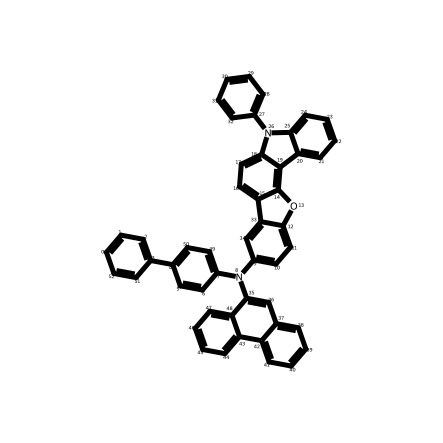 c1ccc(-c2ccc(N(c3ccc4oc5c(ccc6c5c5ccccc5n6-c5ccccc5)c4c3)c3cc4ccccc4c4ccccc34)cc2)cc1